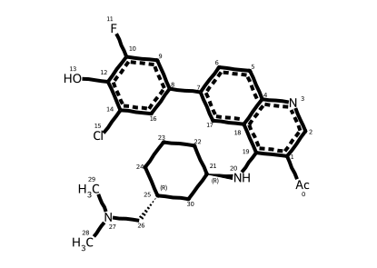 CC(=O)c1cnc2ccc(-c3cc(F)c(O)c(Cl)c3)cc2c1N[C@@H]1CCC[C@@H](CN(C)C)C1